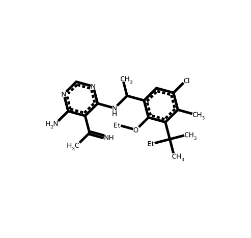 CCOc1c(C(C)Nc2ncnc(N)c2C(C)=N)cc(Cl)c(C)c1C(C)(C)CC